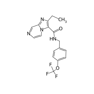 CCc1nc2cnccn2c1C(=O)NCc1ccc(OC(F)(F)F)cc1